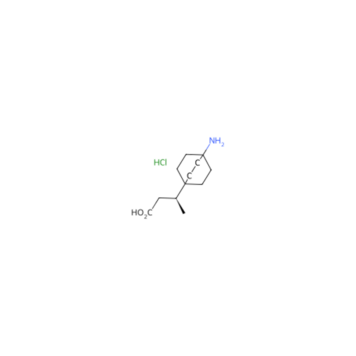 C[C@@H](CC(=O)O)C12CCC(N)(CC1)CC2.Cl